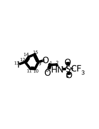 O=C(CNS(=O)(=O)C(F)(F)F)Oc1ccc(I)cc1